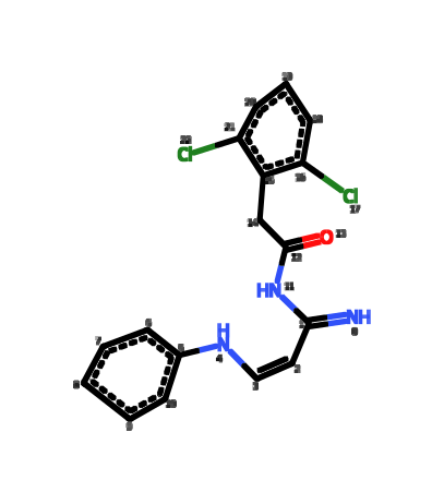 N=C(/C=C\Nc1ccccc1)NC(=O)Cc1c(Cl)cccc1Cl